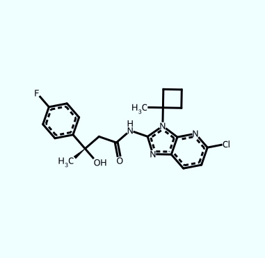 CC1(n2c(NC(=O)C[C@](C)(O)c3ccc(F)cc3)nc3ccc(Cl)nc32)CCC1